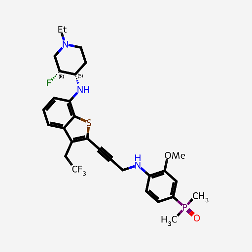 CCN1CC[C@H](Nc2cccc3c(CC(F)(F)F)c(C#CCNc4ccc(P(C)(C)=O)cc4OC)sc23)[C@H](F)C1